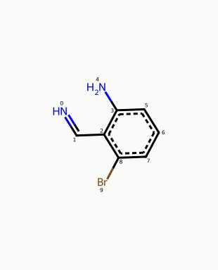 N=Cc1c(N)cccc1Br